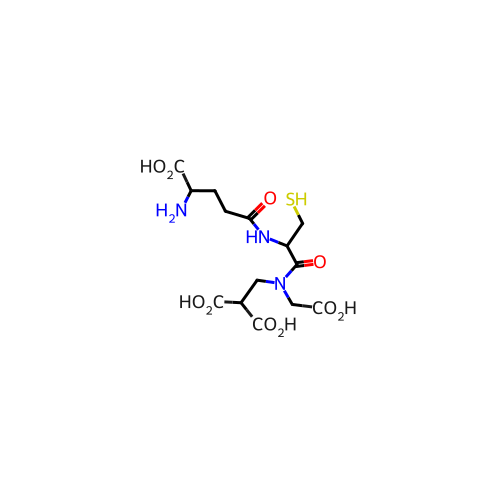 NC(CCC(=O)NC(CS)C(=O)N(CC(=O)O)CC(C(=O)O)C(=O)O)C(=O)O